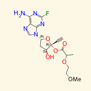 C#C[C@]1(OC(=O)C(C)OCCOC)O[C@@H](n2cnc3c(N)nc(F)nc32)C[C@@H]1O